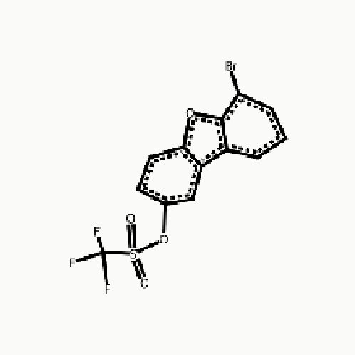 O=S(=O)(Oc1ccc2oc3c(Br)cccc3c2c1)C(F)(F)F